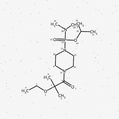 CCOC(C)(C)C(=O)N1CCN(P(=O)(OC(C)C)N(C)C)CC1